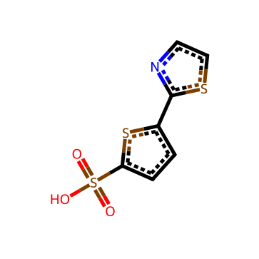 O=S(=O)(O)c1ccc(-c2nccs2)s1